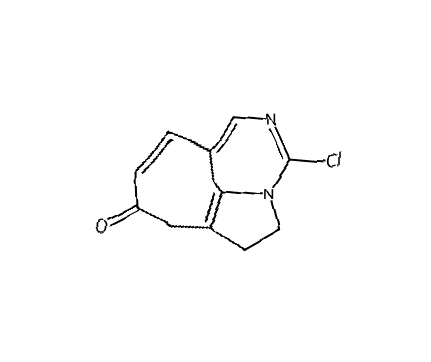 O=C1C=CC2=CN=C(Cl)N3CCC(=C23)C1